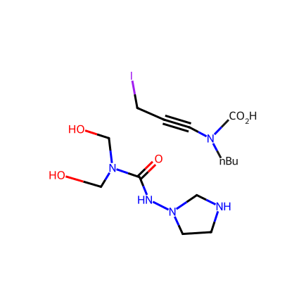 CCCCN(C#CCI)C(=O)O.O=C(NN1CCNC1)N(CO)CO